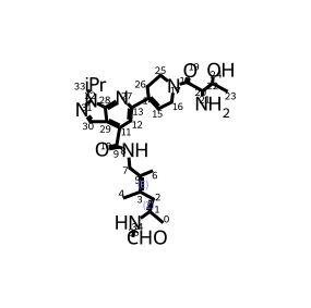 C/C(=C/C(C)=C(\C)CNC(=O)c1cc(C2=CCN(C(=O)C(N)C(C)O)CC2)nc2c1cnn2C(C)C)NC=O